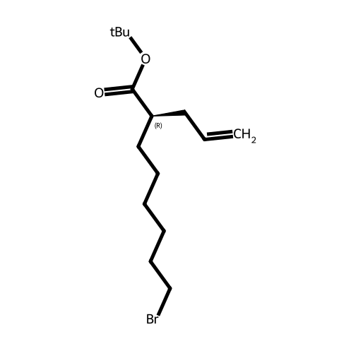 C=CC[C@@H](CCCCCCBr)C(=O)OC(C)(C)C